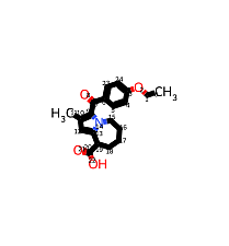 CCOc1ccc(C(=O)c2c(C)cc3n2CCCCC3C(=O)O)cc1